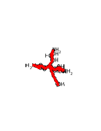 NCOCCC(CO)OP(=O)(O)OCCOP(=O)(O)OCCCOCC(COCCCOP(=O)(O)OCCOP(=O)(O)OC(CO)CCOCN)(COCCCOP(=O)(O)OCCOP(=O)(O)OC(CO)CCOCN)COCCOCCOCCOCCOCCOCCOP(=O)(O)OI